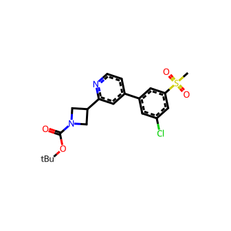 CC(C)(C)OC(=O)N1CC(c2cc(-c3cc(Cl)cc(S(C)(=O)=O)c3)ccn2)C1